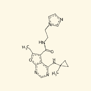 Cc1oc2ncnc(NC3(C)CC3)c2c1C(=O)NCCn1ccnc1